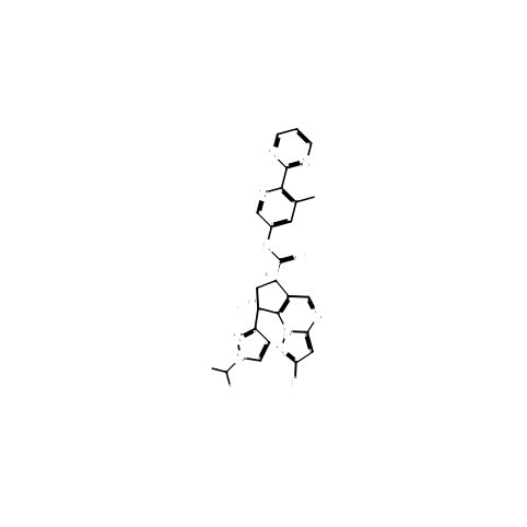 Cc1cc(NC(=O)[C@@H]2C[C@](C)(c3ccn(C(F)F)n3)c3c2cnc2cc(F)nn32)cnc1-c1ncccn1